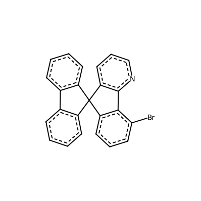 Brc1cccc2c1-c1ncccc1C21c2ccccc2-c2ccccc21